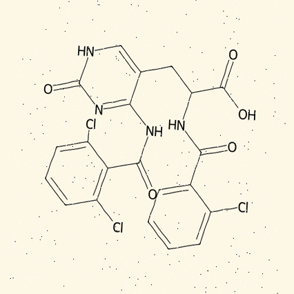 O=C(NC(Cc1c[nH]c(=O)nc1NC(=O)c1c(Cl)cccc1Cl)C(=O)O)c1ccccc1Cl